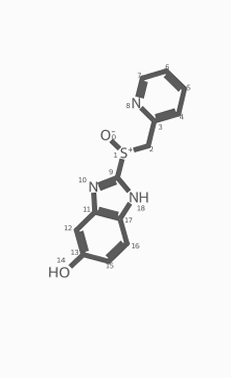 [O-][S+](Cc1ccccn1)c1nc2cc(O)ccc2[nH]1